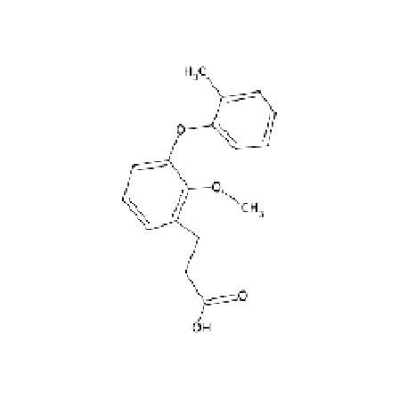 COc1c(CCC(=O)O)cccc1Oc1ccccc1C